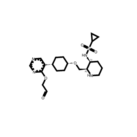 O=CCOc1ncncc1[C@H]1CC[C@@H](OC[C@@H]2NCCC[C@@H]2NS(=O)(=O)C2CC2)CC1